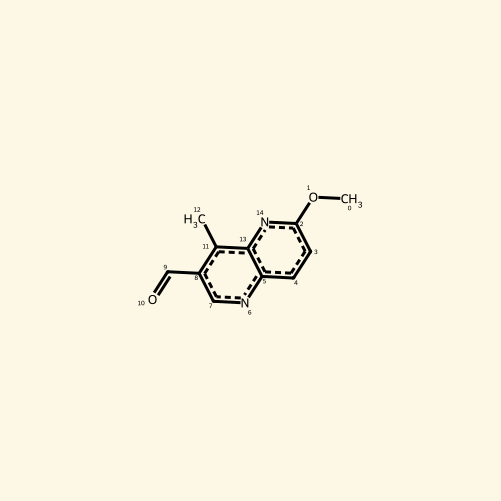 COc1ccc2ncc(C=O)c(C)c2n1